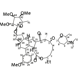 CC[C@H]1CCC[C@H](O[C@H]2CC[C@H](N(C)C)C(C)O2)[C@@H](C)C(=O)C2=C[C@@H]3C(C(c4cccc(OC)c4)C[C@@H]4C[C@@H](O[C@@H]5OC(C)[C@H](OC)C(OC)C5OC)C[C@H]43)[C@@H]2CC(=O)O1